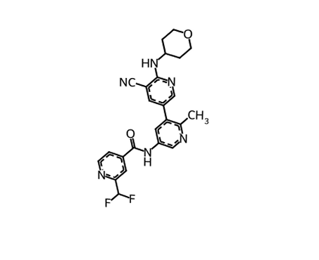 Cc1ncc(NC(=O)c2ccnc(C(F)F)c2)cc1-c1cnc(NC2CCOCC2)c(C#N)c1